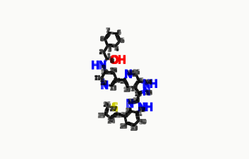 OC(Cc1ccccc1)Nc1cncc(-c2cc3c(-c4nc5c(-c6cccs6)cccc5[nH]4)n[nH]c3cn2)c1